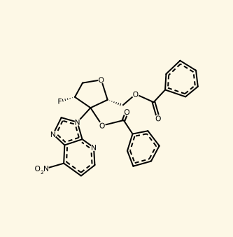 O=C(OC[C@H]1OC[C@@H](F)C1(OC(=O)c1ccccc1)n1cnc2c([N+](=O)[O-])ccnc21)c1ccccc1